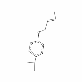 C/C=C/COc1ccc(C(C)(C)C)cc1